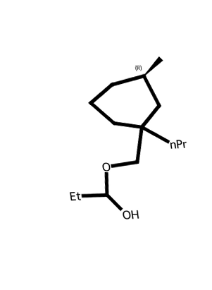 CCCC1(COC(O)CC)CCC[C@@H](C)C1